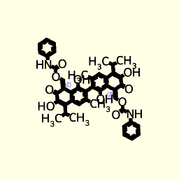 Cc1cc2c(c(O)c1-c1c(C)cc3c(c1O)/C(=C/OC(=O)Nc1ccccc1)C(=O)C(O)=C3C(C)C)/C(=C/OC(=O)Nc1ccccc1)C(=O)C(O)=C2C(C)C